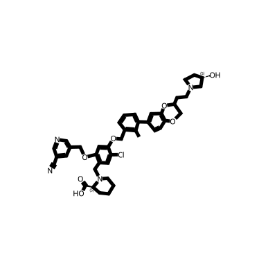 Cc1c(COc2cc(OCc3cncc(C#N)c3)c(CN3CCCC[C@H]3C(=O)O)cc2Cl)cccc1-c1ccc2c(c1)OC(CCN1CC[C@H](O)C1)CO2